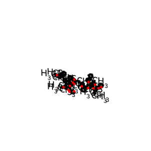 Cc1cc2c3c(c1)-n1c4c(cc(C(C)(C)C)cc4c4sc5ccccc5c41)B3c1ccc(N3c4ccc(C(C)(C)Cc5cccc6c5sc5cccc(N7c8cc(N9c%10ccc(C(C)(C)C)cc%10C%10(C)CCCCC9%10C)ccc8B8c9c7cc(C)cc9-n7c9c8cc(C(C)(C)C)cc9c8sc9ccccc9c87)c56)cc4C4(C)CCCCC34C)cc1N2c1cccc2c1sc1ccccc12